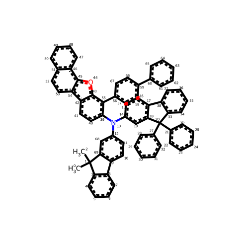 CC1(C)c2ccccc2-c2ccc(N(c3ccc4c(c3)C(c3ccccc3)(c3ccccc3)c3ccccc3-4)c3ccc4c(oc5c6ccccc6ccc45)c3-c3ccc(-c4ccccc4)cc3)cc21